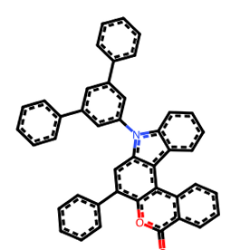 O=c1oc2c(-c3ccccc3)cc3c(c4ccccc4n3-c3cc(-c4ccccc4)cc(-c4ccccc4)c3)c2c2ccccc12